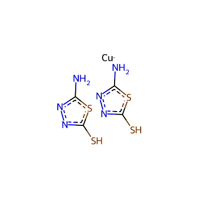 Nc1nnc(S)s1.Nc1nnc(S)s1.[Cu]